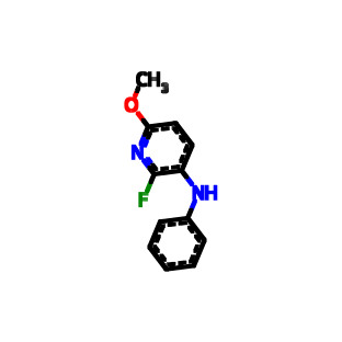 COc1ccc(Nc2ccccc2)c(F)n1